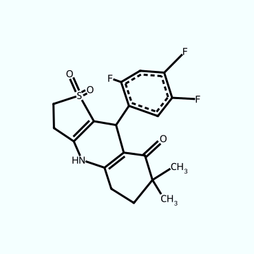 CC1(C)CCC2=C(C1=O)C(c1cc(F)c(F)cc1F)C1=C(CCS1(=O)=O)N2